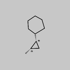 C[C@H]1C[C@H]1C1CCCCC1